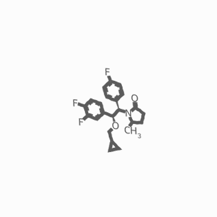 CC1CCC(=O)N1[C@H](c1ccc(F)cc1)[C@@H](OCC1CC1)c1ccc(F)c(F)c1